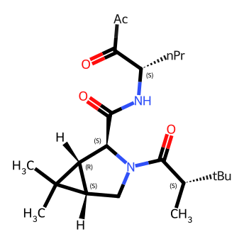 CCC[C@H](NC(=O)[C@@H]1[C@@H]2[C@H](CN1C(=O)[C@@H](C)C(C)(C)C)C2(C)C)C(=O)C(C)=O